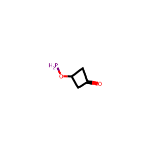 O=C1CC(OP)C1